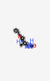 N=C(/N=C1\NCC(=O)N1)c1ccc(Nc2cccc(OCCCC3CCCCC3)c2)c(C2CC2)c1